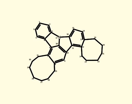 c1ccc2c(c1)c1c3c(cc4c5c6c(ccc5n2c41)CCCCCC6)CCCCCCC3